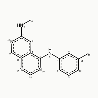 CNc1cc2c(Nc3cccc(C)c3)ncnc2cn1